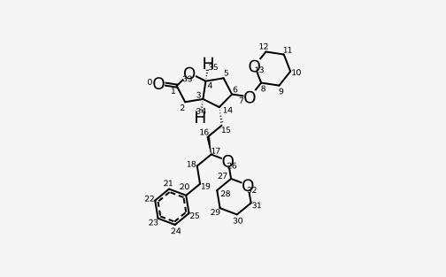 O=C1C[C@H]2[C@H](CC(OC3CCCCO3)[C@@H]2CC[C@H](CCc2ccccc2)OC2CCCCO2)O1